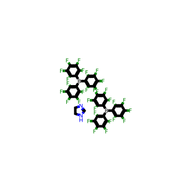 C1=NCCN1.Fc1c(F)c(F)c(B(c2c(F)c(F)c(F)c(F)c2F)c2c(F)c(F)c(F)c(F)c2F)c(F)c1F.Fc1c(F)c(F)c(B(c2c(F)c(F)c(F)c(F)c2F)c2c(F)c(F)c(F)c(F)c2F)c(F)c1F